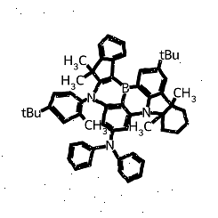 Cc1cc(C(C)(C)C)ccc1N1C2=C(B3c4cc(C(C)(C)C)cc5c4N(c4cc(N(c6ccccc6)c6ccccc6)cc1c43)C1(C)CCCCC51C)c1ccccc1C2(C)C